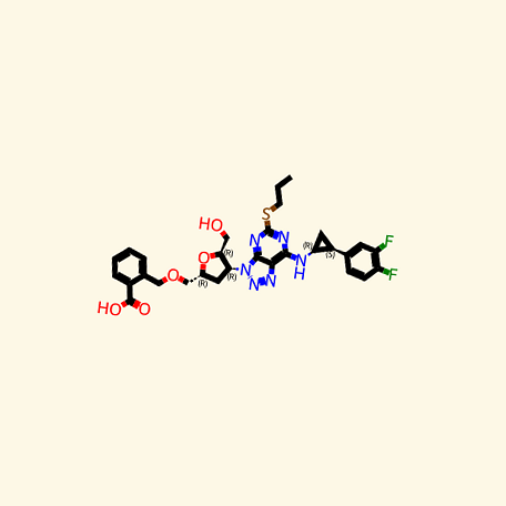 CCCSc1nc(N[C@@H]2C[C@H]2c2ccc(F)c(F)c2)c2nnn([C@@H]3C[C@H](COCc4ccccc4C(=O)O)O[C@H]3CO)c2n1